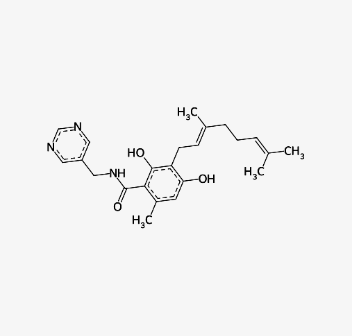 CC(C)=CCC/C(C)=C/Cc1c(O)cc(C)c(C(=O)NCc2cncnc2)c1O